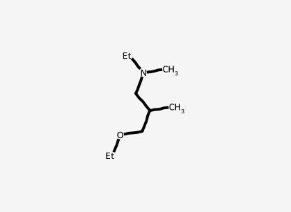 CCOCC(C)CN(C)CC